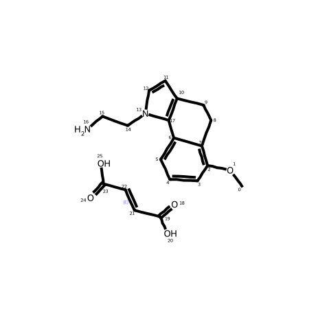 COc1cccc2c1CCc1ccn(CCN)c1-2.O=C(O)/C=C/C(=O)O